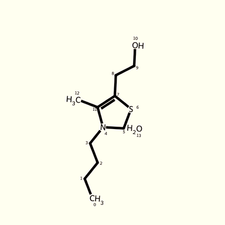 CCCCN1CSC(CCO)=C1C.O